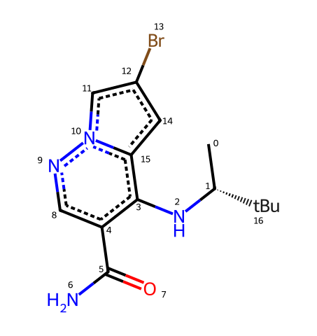 C[C@@H](Nc1c(C(N)=O)cnn2cc(Br)cc12)C(C)(C)C